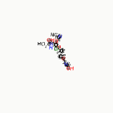 Cc1c(COc2cc(OCc3cncc(C#N)c3)c(CN[C@@](C)(CO)C(=O)O)cc2Cl)cccc1-c1cccc(OCCCN2CC[C@@H](O)C2)c1C